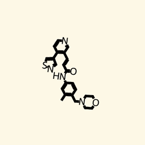 Cc1cc(NC(=O)C=Cc2cnccc2-c2cnsc2)ccc1CN1CCOCC1